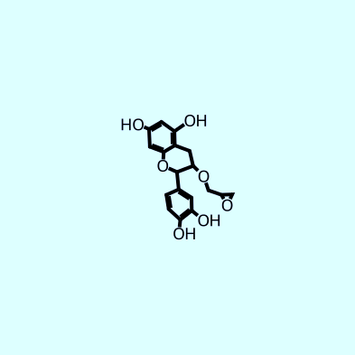 Oc1cc(O)c2c(c1)OC(c1ccc(O)c(O)c1)C(OCC1CO1)C2